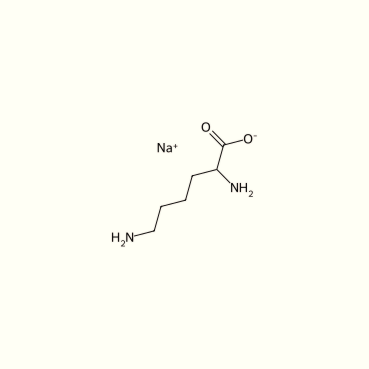 NCCCCC(N)C(=O)[O-].[Na+]